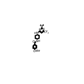 COc1ccc(C(=O)N[C@H]2CC[C@@H](Nc3cc(C(F)(F)F)nc(N(C)C)n3)CC2)cc1